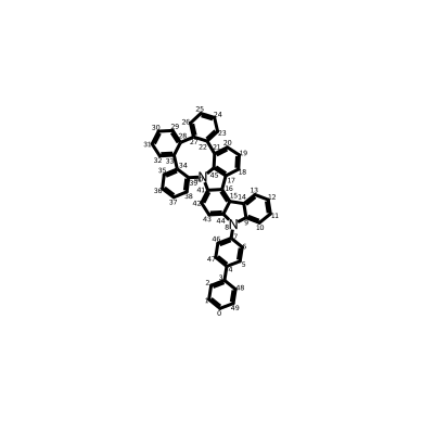 c1ccc(-c2ccc(-n3c4ccccc4c4c5c6cccc7c8ccccc8c8ccccc8c8ccccc8n(c5ccc43)c76)cc2)cc1